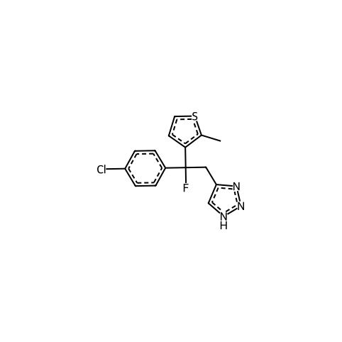 Cc1sccc1C(F)(Cc1c[nH]nn1)c1ccc(Cl)cc1